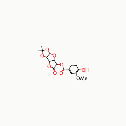 COc1cc(C(=O)OC2C(=O)OC3C4OC(C)(C)OC4OC23)ccc1O